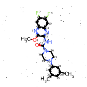 COc1nc2cc(F)c(F)cc2nc1NC(=O)N1CCN(c2cc(C)cc(C)c2)CC1